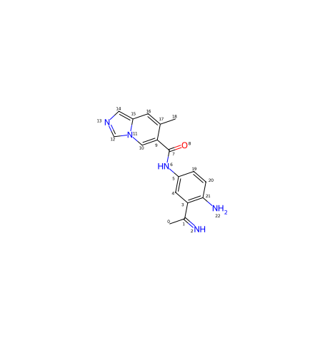 CC(=N)c1cc(NC(=O)c2cn3cncc3cc2C)ccc1N